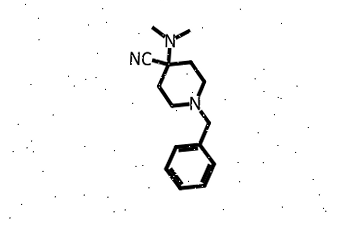 CN(C)C1(C#N)CCN(Cc2ccccc2)CC1